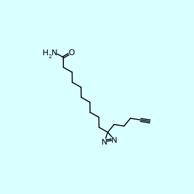 C#CCCCC1(CCCCCCCCCC(N)=O)N=N1